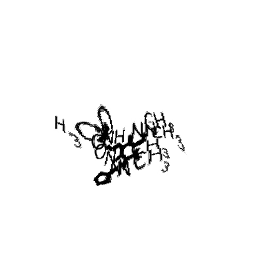 CCS(=O)(=O)NC(=O)c1cc(-c2ccc(N(C)C)nc2)c2c(C(C)C)nn(C3CCCC3)c2n1